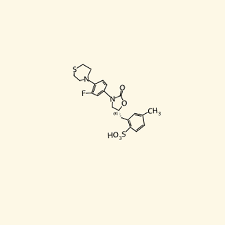 Cc1ccc(S(=O)(=O)O)c(C[C@@H]2CN(c3ccc(N4CCSCC4)c(F)c3)C(=O)O2)c1